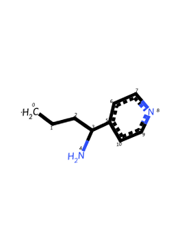 [CH2]CCC(N)c1ccncc1